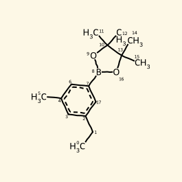 CCc1cc(C)cc(B2OC(C)(C)C(C)(C)O2)c1